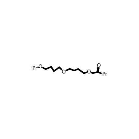 CC(C)OCCCCOCCCCOCC(=O)C(C)C